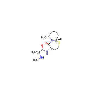 CN[C@@H](C)C(=O)N[C@H]1CCS[C@H]2CCCC(C)N2C1=O